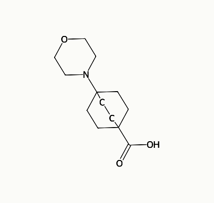 O=C(O)C12CCC(N3CCOCC3)(CC1)CC2